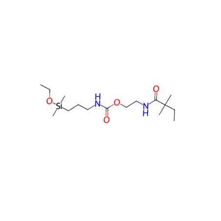 CCO[Si](C)(C)CCCNC(=O)OCCNC(=O)C(C)(C)CC